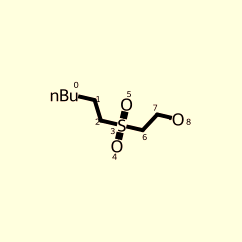 CCCCCCS(=O)(=O)CC[O]